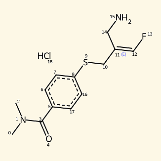 CN(C)C(=O)c1ccc(SC/C(=C/F)CN)cc1.Cl